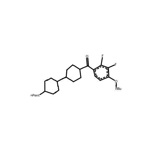 CCCCCC1CCC(C2CCC(C(=O)c3ccc(OCCCC)c(F)c3F)CC2)CC1